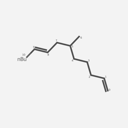 C=CCCCC(C)CC=CCCCC